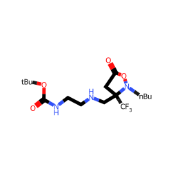 CCCCN1OC(=O)CC1(CNCCNC(=O)OC(C)(C)C)C(F)(F)F